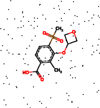 Cc1c(C(=O)O)ccc(S(C)(=O)=O)c1OC1COC1